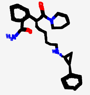 NC(=O)c1ccccc1[C@H](CCCCN[C@@H]1C[C@H]1c1ccccc1)C(=O)N1CCCCC1